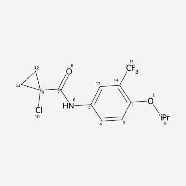 CC(C)Oc1ccc(NC(=O)C2(Cl)CC2)cc1C(F)(F)F